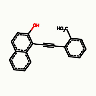 O=C(O)c1ccccc1C#Cc1c(O)ccc2ccccc12